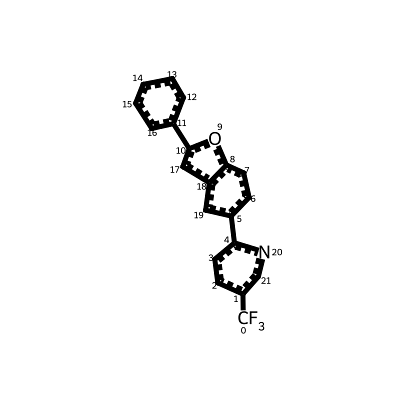 FC(F)(F)c1ccc(-c2ccc3oc(-c4ccccc4)cc3c2)nc1